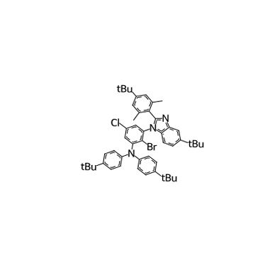 Cc1cc(C(C)(C)C)cc(C)c1-c1nc2cc(C(C)(C)C)ccc2n1-c1cc(Cl)cc(N(c2ccc(C(C)(C)C)cc2)c2ccc(C(C)(C)C)cc2)c1Br